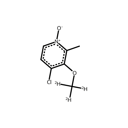 [2H]C([2H])([2H])Oc1c(Cl)cc[n+]([O-])c1C